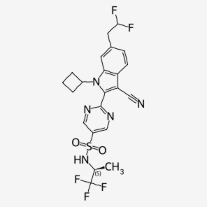 C[C@H](NS(=O)(=O)c1cnc(-c2c(C#N)c3ccc(CC(F)F)cc3n2C2CCC2)nc1)C(F)(F)F